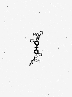 CCSCC(O)COc1ccc(C(C)(C)c2ccc(OCC(O)CCl)c(Cl)c2)cc1Cl